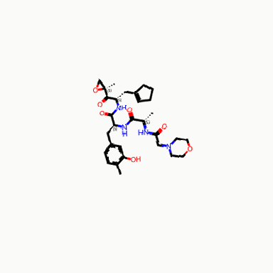 Cc1ccc(C[C@H](NC(=O)[C@H](C)NC(=O)CN2CCOCC2)C(=O)N[C@@H](CC2=CCCC2)C(=O)[C@]2(C)CO2)cc1O